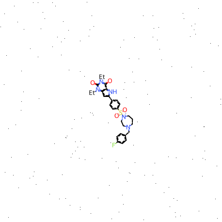 CCn1c(=O)c2[nH]c(-c3ccc(S(=O)(=O)N4CCCN(Cc5ccc(F)cc5)CC4)cc3)cc2n(CC)c1=O